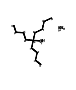 CCCCC(O)(CCCC)CCCC.N